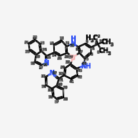 CC(C)(C)c1cc2c3c(c1)Nc1ccc(-c4nccc5ccccc45)cc1B3c1cc(-c3nccc4ccccc34)ccc1N2